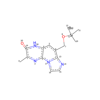 Cc1nc2c(cc(CO[Si](C)(C)C(C)(C)C)c3nccn32)[nH]c1=O